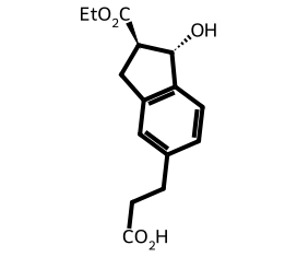 CCOC(=O)[C@@H]1Cc2cc(CCC(=O)O)ccc2[C@H]1O